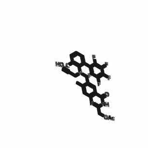 C#CCN(Cc1cc2c(=O)[nH]c(COC(C)=O)nc2cc1C)c1c(C(=O)O)cccc1-c1c(F)c(F)c(F)c(F)c1F